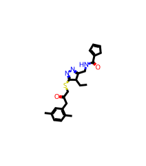 CCC1C(CNC(=O)C2=CC=CC2)=NN=C1SCC(=O)Cc1cc(C)ccc1C